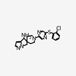 N[C@@H]1c2ccnn2CC12CCN(c1cnc(Sc3ccccc3Cl)cn1)CC2